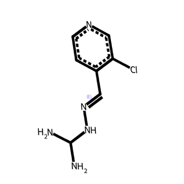 NC(N)N/N=C/c1ccncc1Cl